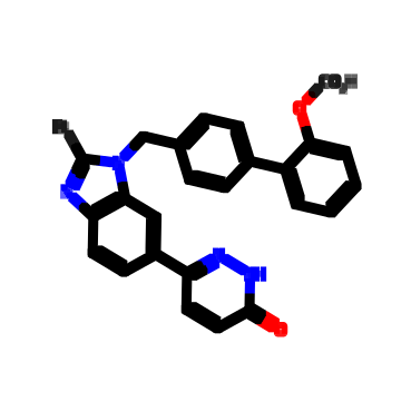 CCc1nc2ccc(-c3ccc(=O)[nH]n3)cc2n1Cc1ccc(-c2ccccc2OC(=O)O)cc1